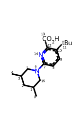 CC1CC(C)CN(c2ccc(C(C)(C)C)c(C(=O)O)n2)C1